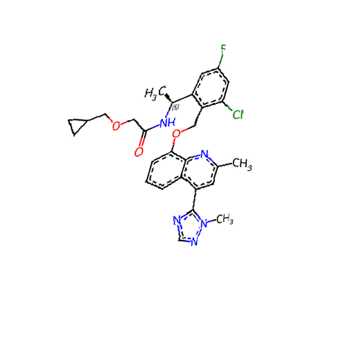 Cc1cc(-c2ncnn2C)c2cccc(OCc3c(Cl)cc(F)cc3[C@H](C)NC(=O)COCC3CC3)c2n1